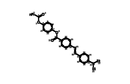 CCCC(=O)Oc1ccc(OC(=O)c2ccc(N=Nc3ccc(N(CC)CC)cc3)cc2)cc1